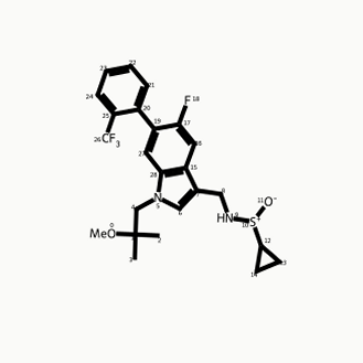 COC(C)(C)Cn1cc(CN[S+]([O-])C2CC2)c2cc(F)c(-c3ccccc3C(F)(F)F)cc21